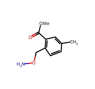 COC(=O)c1cc(C)ccc1CON